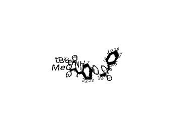 COC(=O)C(Cc1ccc(OCC(=O)OCc2ccccc2)cc1)NC(=O)OC(C)(C)C